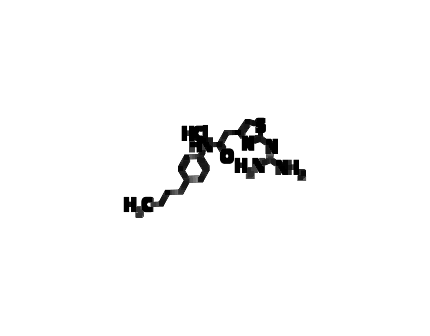 CCCCc1ccc(NC(=O)Cc2csc(N=C(N)N)n2)cc1.Cl